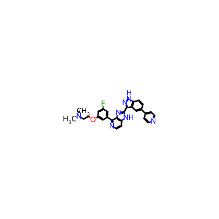 CN(C)CCOc1cc(F)cc(-c2nccc3[nH]c(-c4n[nH]c5ccc(-c6ccncc6)cc45)nc23)c1